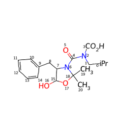 CC(C)CN(C(=O)O)C(=O)N1C(Cc2ccccc2)C(O)OC1(C)C